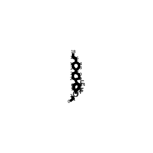 C/C=C/Oc1ccc(C2CCC(C3CCC(/C=C/C)CC3)CC2)c(F)c1F